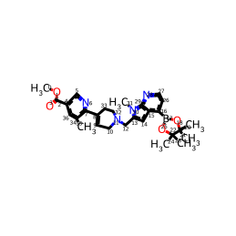 COC(=O)c1cnc(C2=CCN(Cc3cc4c(B5OC(C)(C)C(C)(C)O5)ccnc4n3C)CC2)c(C)c1